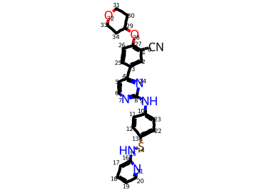 N#Cc1cc(-c2ccnc(Nc3ccc(SNc4ccccn4)cc3)n2)ccc1OC1CCOCC1